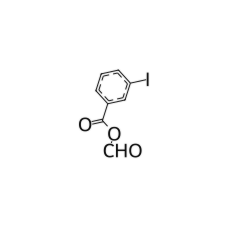 O=COC(=O)c1cccc(I)c1